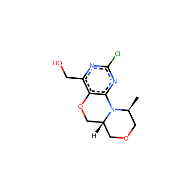 C[C@H]1COC[C@@H]2COc3c(CO)nc(Cl)nc3N21